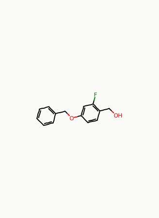 OCc1ccc(OCc2ccccc2)cc1F